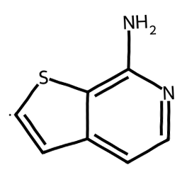 Nc1nccc2c[c]sc12